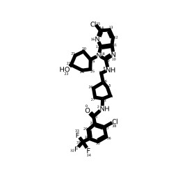 O=C(NC1CCC(CNc2nc3ccc(Cl)nc3n2C2CCC(O)CC2)CC1)c1cc(C(F)(F)F)ccc1Cl